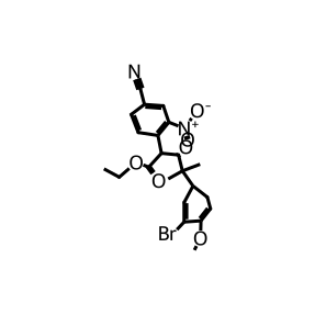 CCOC(=O)C(C(=O)C(C)(C)C1C=C(Br)C(OC)=CC1)c1ccc(C#N)cc1[N+](=O)[O-]